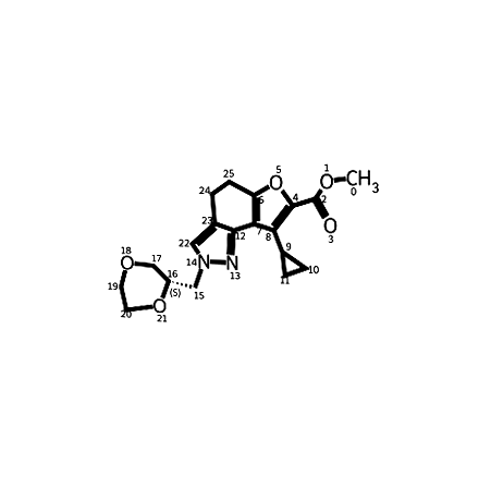 COC(=O)c1oc2c(c1C1CC1)-c1nn(C[C@H]3COCCO3)cc1CC2